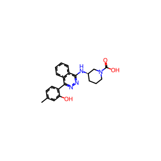 Cc1ccc(-c2nnc(N[C@@H]3CCCN(C(=O)O)C3)c3ccccc23)c(O)c1